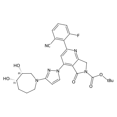 CC(C)(C)OC(=O)N1Cc2nc(-c3c(F)cccc3C#N)cc(-n3ccc(N4CCC[C@H](O)[C@H](O)C4)n3)c2C1=O